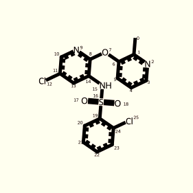 Cc1ncccc1Oc1ncc(Cl)cc1NS(=O)(=O)c1ccccc1Cl